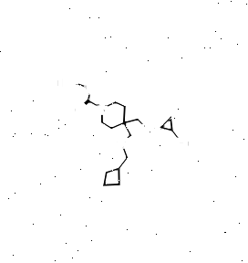 CCC1C[C@H]1NCC1(COCC2CCC2)CCN(C(=O)OC(C)(C)C)CC1